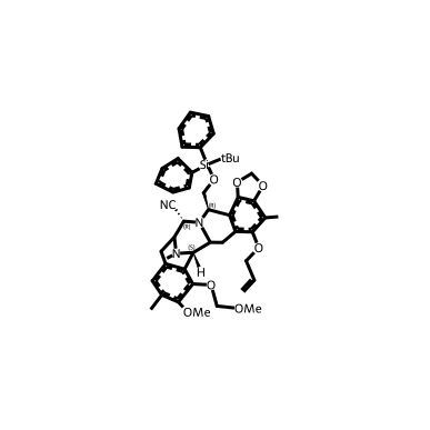 C=CCOc1c(C)c2c(c3c1CC1[C@@H]4c5c(cc(C)c(OC)c5OCOC)CC([C@H](C#N)N1[C@H]3CO[Si](c1ccccc1)(c1ccccc1)C(C)(C)C)N4C)OCO2